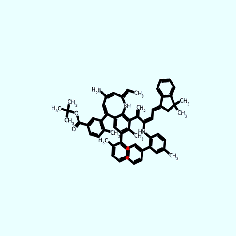 BC1=C/C(=C/C)Bc2c(cc(-c3ccccc3C)c(C)c2C(=C)/C(=C\C=C2/CC(C)(C)c3ccccc32)Nc2ccc(C)cc2-c2ccccc2)/C(c2cc(C(=O)OC(C)(C)C)ccc2C)=C\1